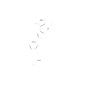 CNC(=O)OCc1cccc(-c2cc3c(nc(NC)c4ncn(C)c43)[nH]2)n1